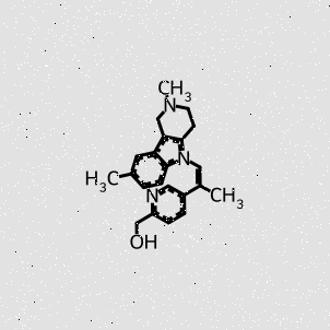 C/C(=C/n1c2c(c3cc(C)ccc31)CN(C)CC2)c1ccc(CO)nc1